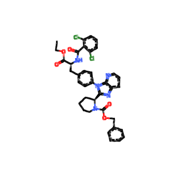 CCOC(=O)[C@H](Cc1ccc(-n2c([C@@H]3CCCCN3C(=O)OCc3ccccc3)nc3cccnc32)cc1)NC(=O)c1c(Cl)cccc1Cl